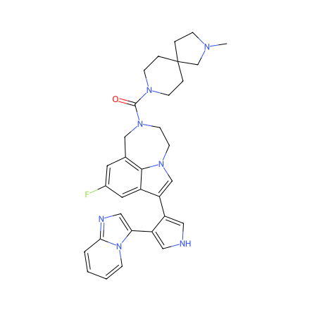 CN1CCC2(CCN(C(=O)N3CCn4cc(-c5c[nH]cc5-c5cnc6ccccn56)c5cc(F)cc(c54)C3)CC2)C1